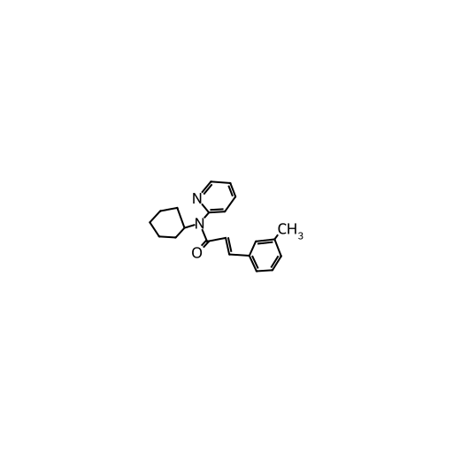 Cc1cccc(C=CC(=O)N(c2ccccn2)C2CCCCC2)c1